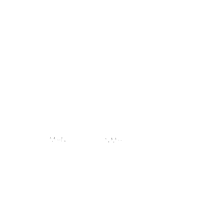 CNC1=C(NC)c2c3ccccc3cc3cccc1c23